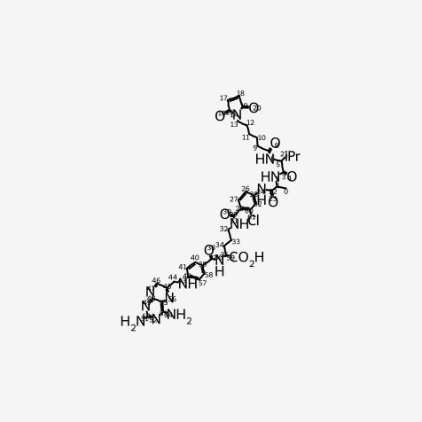 CC(NC(=O)C(NC(=O)CCCCCN1C(=O)C=CC1=O)C(C)C)C(=O)Nc1ccc(C(=O)NCCCC(NC(=O)c2ccc(NCc3cnc4nc(N)nc(N)c4n3)cc2)C(=O)O)c(Cl)c1